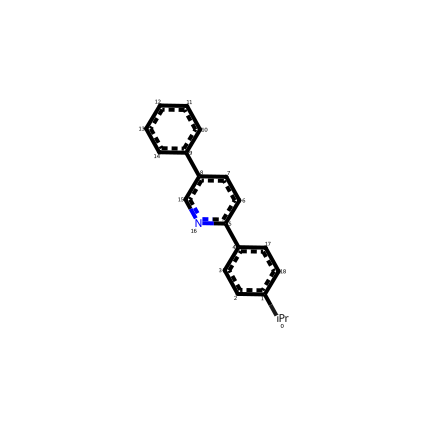 CC(C)c1ccc(-c2ccc(-c3ccccc3)cn2)cc1